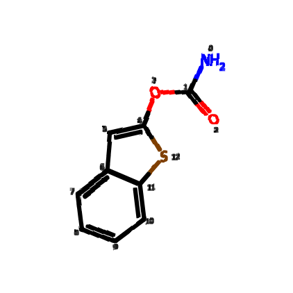 NC(=O)Oc1cc2ccccc2s1